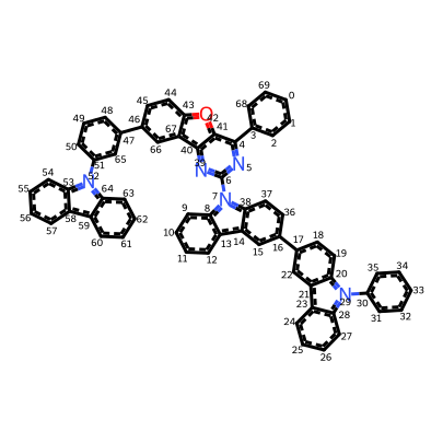 c1ccc(-c2nc(-n3c4ccccc4c4cc(-c5ccc6c(c5)c5ccccc5n6-c5ccccc5)ccc43)nc3c2oc2ccc(-c4cccc(-n5c6ccccc6c6ccccc65)c4)cc23)cc1